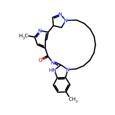 Cc1ccc2c(c1)N1CCCCCCCCCN3CC(C=N3)c3cc(cc(C)n3)C(=O)/N=C/1N2